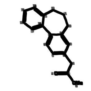 COC(=O)Cc1ccc2c(c1)CCCc1ccccc1-2